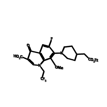 CCOC(=O)CC1CCN(c2c(F)cc3c(=O)c(C(=O)O)cn(CC(F)(F)F)c3c2OC)CC1